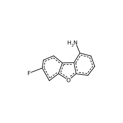 Nc1cccc2oc3cc(F)ccc3c12